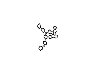 c1ccc(Oc2ccc(-c3ccc(N(c4ccc(-c5ccccc5)cc4)c4ccc5c(c4)C4(c6ccccc6-c6ccccc64)c4ccc6ccccc6c4-5)cc3)cc2)cc1